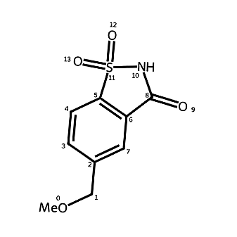 COCc1ccc2c(c1)C(=O)NS2(=O)=O